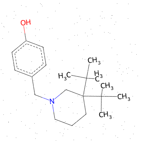 CC(C)(C)C1(C(C)(C)C)CCCN(Cc2ccc(O)cc2)C1